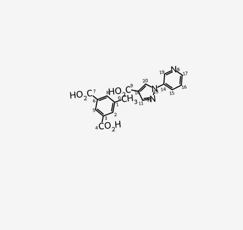 Cc1cc(C(=O)O)cc(C(=O)O)c1.O=C(O)c1cnn(-c2cccnc2)c1